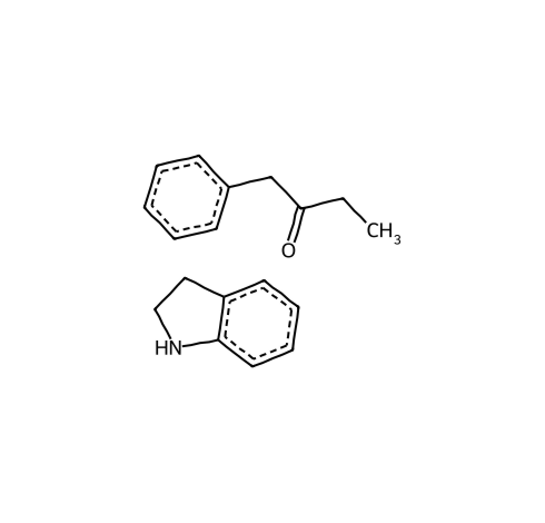 CCC(=O)Cc1ccccc1.c1ccc2c(c1)CCN2